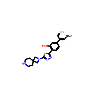 CN/C=C(\C=N)c1ccc(-c2nnc(N3CC4(CCNCC4)C3)s2)c(O)c1